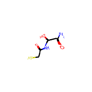 NC(=O)C(O)NC(=O)CS